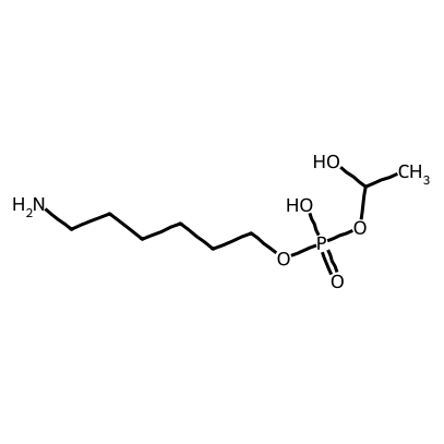 CC(O)OP(=O)(O)OCCCCCCN